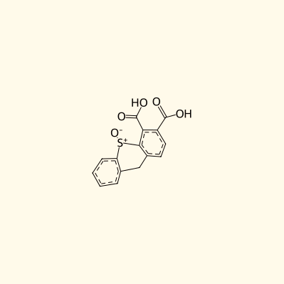 O=C(O)c1ccc2c(c1C(=O)O)[S+]([O-])c1ccccc1C2